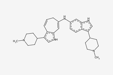 CN1CCC(c2c[nH]c3c2C=CCC(Nc2ccc4c(C5CCN(C)CC5)c[nH]c4c2)=C3)CC1